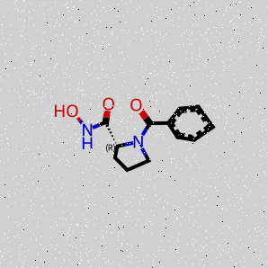 O=C(NO)[C@H]1CCCN1C(=O)c1ccccc1